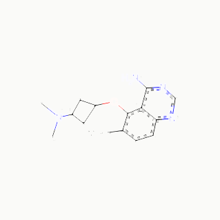 COc1ccc2ncnc(N)c2c1OC1CC(N(C)C)C1